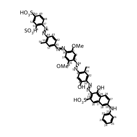 COc1cc(N=Nc2cc(O)c(N=Nc3c(S(=O)(=O)O)cc4cc(Nc5ccccc5)ccc4c3O)cc2C)c(OC)cc1N=Nc1ccc(N=Nc2ccc(S(=O)(=O)O)cc2S(=O)(=O)O)c(C)c1